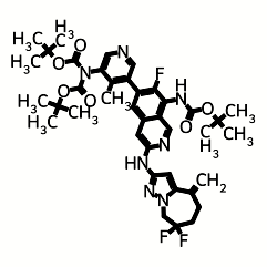 C=C1CCC(F)(F)Cn2nc(Nc3cc4cc(-c5cncc(N(C(=O)OC(C)(C)C)C(=O)OC(C)(C)C)c5C)c(F)c(NC(=O)OC(C)(C)C)c4cn3)cc21